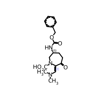 CN(C)/C=C1/C(=O)CC[C@H](NC(=O)OCc2ccccc2)CN1C(=O)O